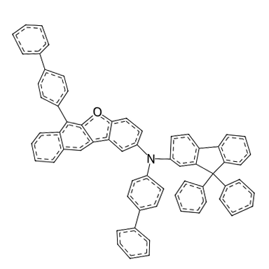 c1ccc(-c2ccc(-c3c4ccccc4cc4c3oc3ccc(N(c5ccc(-c6ccccc6)cc5)c5ccc6c(c5)C(c5ccccc5)(c5ccccc5)c5ccccc5-6)cc34)cc2)cc1